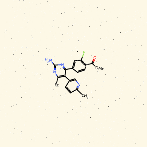 CCc1nc(N)nc(-c2ccc(C(=O)OC)c(F)c2)c1-c1ccc(C)nc1